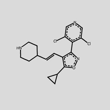 Clc1cncc(Cl)c1-c1noc(C2CC2)c1/C=C/C1CCNCC1